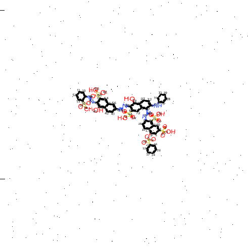 O=S(=O)(O)c1cc(OS(=O)(=O)c2ccccc2)c2ccc(N=Nc3c(Nc4ccccc4)ccc4c(O)c(N=Nc5ccc6c(O)c(N=Nc7ccccc7S(=O)(=O)O)c(S(=O)(=O)O)cc6c5)c(S(=O)(=O)O)cc34)c(S(=O)(=O)O)c2c1